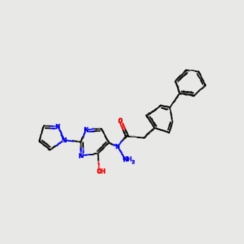 NN(C(=O)Cc1ccc(-c2ccccc2)cc1)c1cnc(-n2cccn2)nc1O